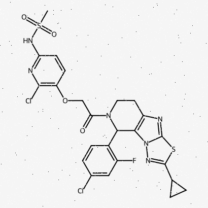 CS(=O)(=O)Nc1ccc(OCC(=O)N2CCc3nc4sc(C5CC5)nn4c3C2c2ccc(Cl)cc2F)c(Cl)n1